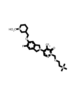 C[Si](C)(C)CCOCn1ncc(N2Cc3cc(F)c(OCC4CCCN(C(=O)O)C4)cc3C2)c(C(F)(F)F)c1=O